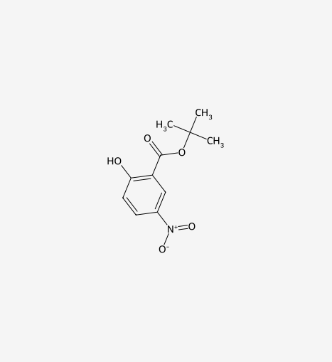 CC(C)(C)OC(=O)c1cc([N+](=O)[O-])ccc1O